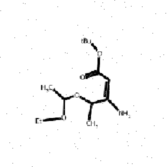 CCOC(C)OC(C)/C(N)=C\C(=O)OC(C)(C)C